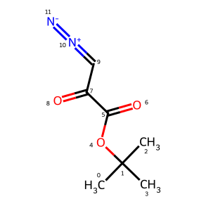 CC(C)(C)OC(=O)C(=O)C=[N+]=[N-]